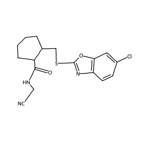 N#CCNC(=O)C1CCCCC1CSc1nc2ccc(Cl)cc2o1